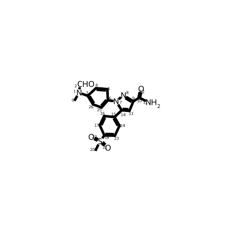 CN(C=O)c1ccc(-n2nc(C(N)=O)cc2-c2ccc(S(C)(=O)=O)cc2)cc1